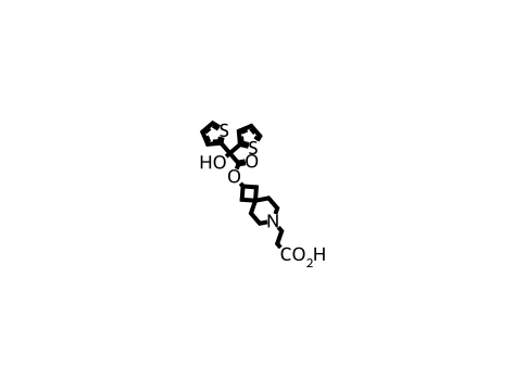 O=C(O)CCN1CCC2(CC1)CC(OC(=O)C(O)(c1cccs1)c1cccs1)C2